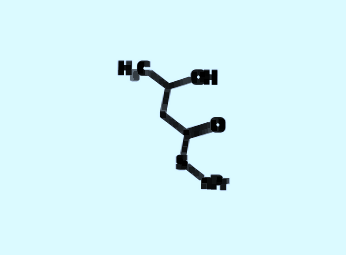 CCCSC(=O)CC(C)O